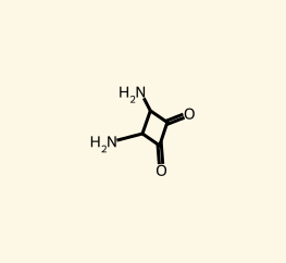 NC1C(=O)C(=O)C1N